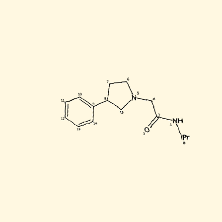 CC(C)NC(=O)CN1CCC(c2ccccc2)C1